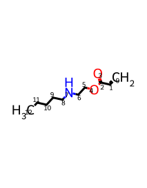 C=CC(=O)OCCNCCCCC